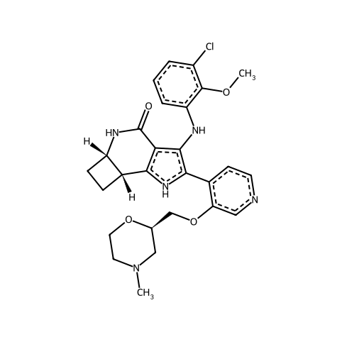 COc1c(Cl)cccc1Nc1c(-c2ccncc2OC[C@H]2CN(C)CCO2)[nH]c2c1C(=O)N[C@H]1CC[C@@H]21